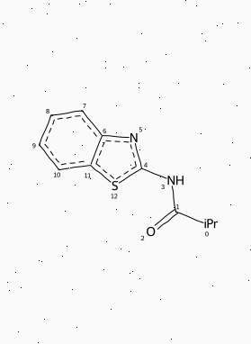 CC(C)C(=O)Nc1nc2ccccc2s1